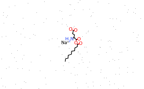 CCCCCCCCCC(=O)OC(=O)[C@@H](N)CCC(=O)[O-].[Na+]